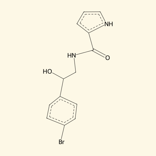 O=C(NCC(O)c1ccc(Br)cc1)c1ccc[nH]1